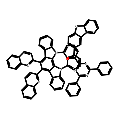 c1ccc(-c2nc(-c3ccccc3)nc(-c3cccc(-n4c5ccccc5c5c(-c6ccc7ccccc7n6)c(-c6ccc7ccccc7n6)c6c7ccccc7n(-c7cccc(-c8ccc9oc%10ccccc%10c9c8)n7)c6c54)c3)n2)cc1